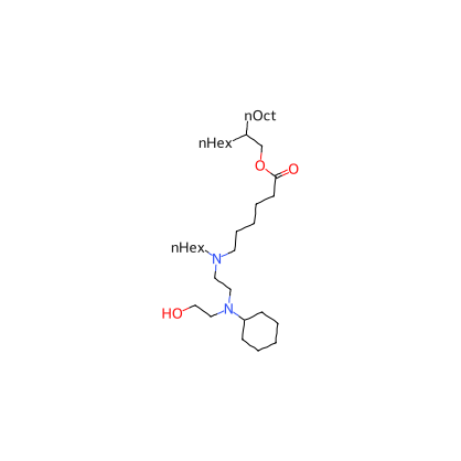 CCCCCCCCC(CCCCCC)COC(=O)CCCCCN(CCCCCC)CCN(CCO)C1CCCCC1